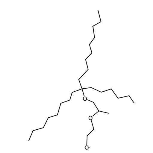 CCCCCCCCCC(CCCCCC)(CCCCCCCC)OCC(C)OCC[O]